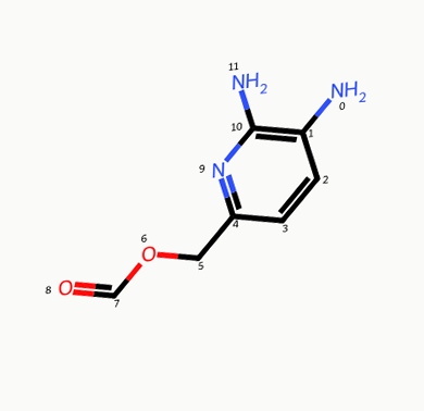 Nc1ccc(COC=O)nc1N